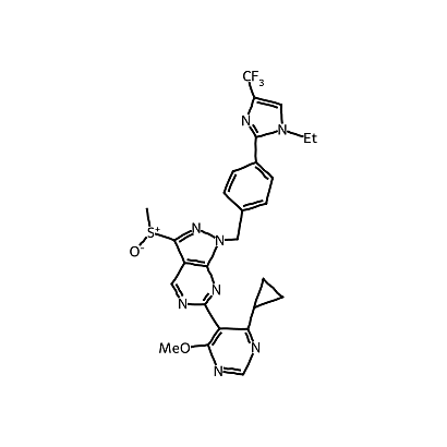 CCn1cc(C(F)(F)F)nc1-c1ccc(Cn2nc([S+](C)[O-])c3cnc(-c4c(OC)ncnc4C4CC4)nc32)cc1